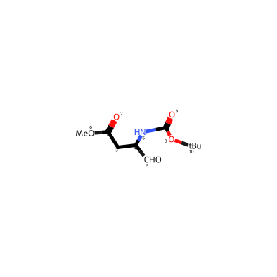 COC(=O)CC(C=O)NC(=O)OC(C)(C)C